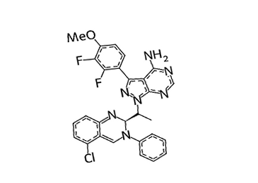 COc1ccc(-c2nn(C(C)[C@@H]3N=c4cccc(Cl)c4=CN3c3ccccc3)c3ncnc(N)c23)c(F)c1F